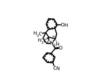 CC12CCN(C(=O)c3cccc(C#N)c3)[C@H](Cc3c(O)cccc31)C2(C)C